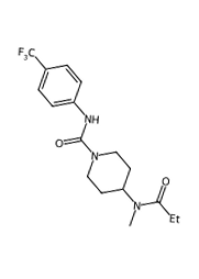 CCC(=O)N(C)C1CCN(C(=O)Nc2ccc(C(F)(F)F)cc2)CC1